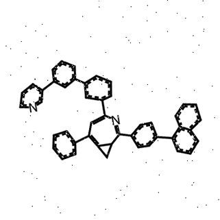 C1=C(c2cccc(-c3cccc(-c4cccnc4)c3)c2)N=C(c2ccc(-c3cccc4ccccc34)cc2)C2CC2=C1c1ccccc1